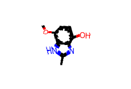 COc1ccc(O)c2nc(C)[nH]c12